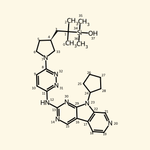 CC(C)(C[C@@H]1CCN(c2ccc(Nc3ncc4c5ccncc5n(C5CCCC5)c4n3)nn2)C1)[Si](C)(C)O